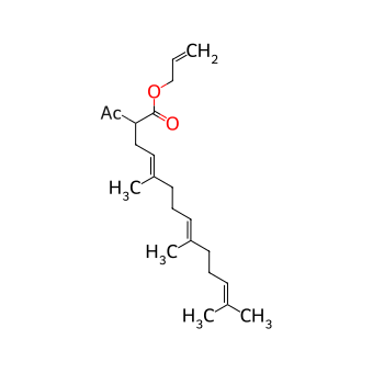 C=CCOC(=O)C(C/C=C(\C)CC/C=C(\C)CCC=C(C)C)C(C)=O